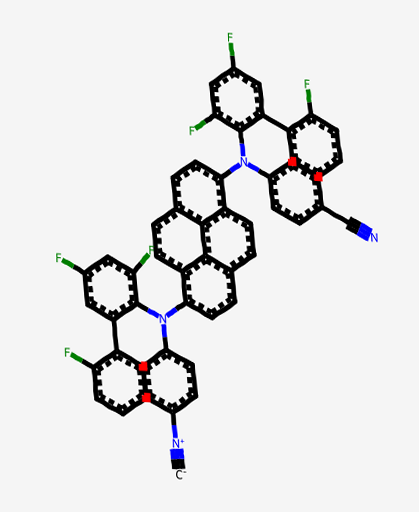 [C-]#[N+]c1ccc(N(c2c(F)cc(F)cc2-c2ccccc2F)c2ccc3ccc4c(N(c5ccc(C#N)cc5)c5c(F)cc(F)cc5-c5ccccc5F)ccc5ccc2c3c54)cc1